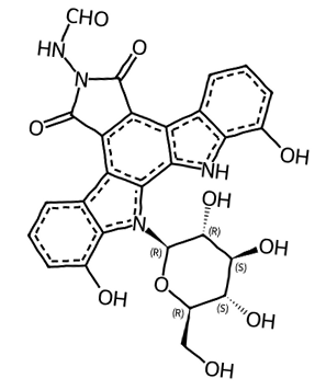 O=CNN1C(=O)c2c(c3c4cccc(O)c4n([C@@H]4O[C@H](CO)[C@@H](O)[C@H](O)[C@H]4O)c3c3[nH]c4c(O)cccc4c23)C1=O